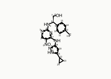 O=[N+]([O-])c1cnc(N[C@@H](CO)c2ccc(F)cc2)nc1Nc1cc(C2CC2)[nH]n1